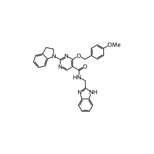 COc1ccc(COc2nc(N3CCc4ccccc43)ncc2C(=O)NCc2nc3ccccc3[nH]2)cc1